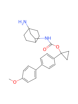 COc1ccc(-c2ccc(C3(OC(=O)NC4CC5(N)CCC4CC5)CC3)cc2)cc1